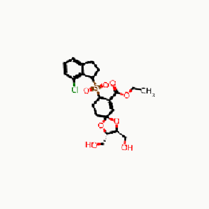 CCOC(=O)C1=CC2(CCC1S(=O)(=O)C1CCc3cccc(Cl)c31)O[C@@H](CO)[C@H](CO)O2